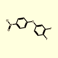 O=[N+]([O-])c1ccc(Oc2ccc(F)c(F)c2)cc1